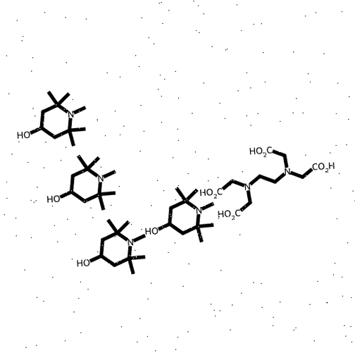 CN1C(C)(C)CC(O)CC1(C)C.CN1C(C)(C)CC(O)CC1(C)C.CN1C(C)(C)CC(O)CC1(C)C.CN1C(C)(C)CC(O)CC1(C)C.O=C(O)CN(CCN(CC(=O)O)CC(=O)O)CC(=O)O